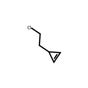 ClCCC1C=C1